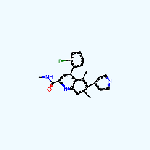 CNC(=O)c1cc(-c2ccccc2F)c2c(C)c(-c3ccncc3)c(C)cc2n1